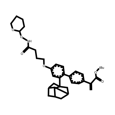 C=C(C(=O)OC(C)(C)C)c1ccc(-c2ccc(OCCCC(=O)NOC3CCCCO3)cc2C23CC4CC(CC(C4)C2)C3)cc1